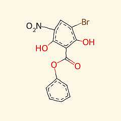 O=C(Oc1ccccc1)c1c(O)c(Br)cc([N+](=O)[O-])c1O